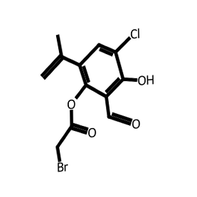 C=C(C)c1cc(Cl)c(O)c(C=O)c1OC(=O)CBr